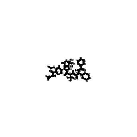 CCC[C@H](NC(=O)[C@@H]1C2NCC(F)(F)[C@H]2CN1C(=O)[C@@H](NC(=O)[C@@H](NC(=O)c1cnccn1)C1CCCCC1)C(C)(C)C)C(=O)C(=O)NC1CC1